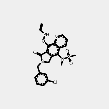 C=CPOc1c2c(c(N(C)S(C)(=O)=O)c3cccnc13)CN(Cc1cccc(Cl)c1)C2=O